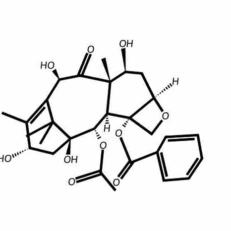 CC(=O)O[C@H]1[C@@H]2[C@]3(OC(=O)c4ccccc4)CO[C@@H]3C[C@H](O)[C@@]2(C)C(=O)[C@H](O)C2=C(C)[C@@H](O)C[C@]1(O)C2(C)C